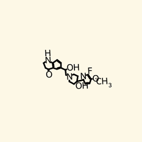 COc1ccc(C2(O)CCN(CC(O)c3ccc4c(c3)C(=O)CCN4)CC2)nc1F